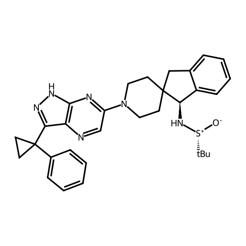 CC(C)(C)[S@@+]([O-])N[C@@H]1c2ccccc2CC12CCN(c1cnc3c(C4(c5ccccc5)CC4)n[nH]c3n1)CC2